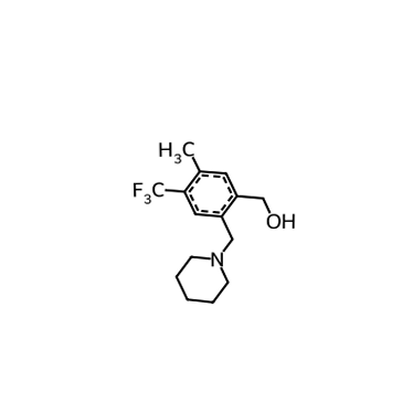 Cc1cc(CO)c(CN2CCCCC2)cc1C(F)(F)F